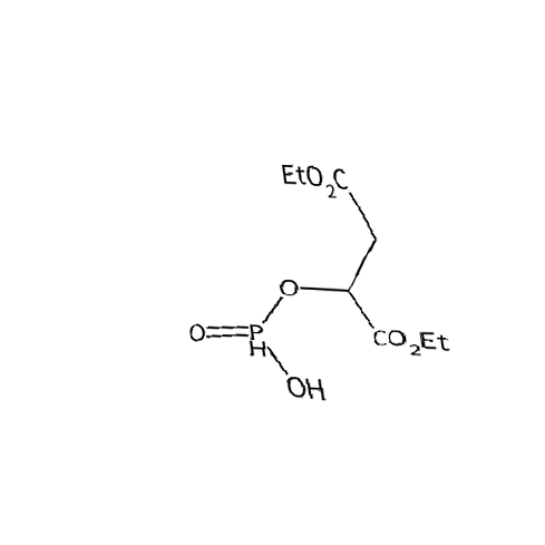 CCOC(=O)CC(O[PH](=O)O)C(=O)OCC